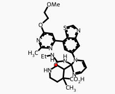 CCNC(=O)NC1(C2CNCCC2(C)C(=O)O)N=CC=CN1c1cc(-c2cc(OCCOC)nc(C)n2)c2scnc2c1